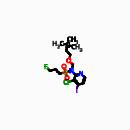 C[Si](C)(C)CCOCN(c1nccc(I)c1Cl)S(=O)(=O)CCCF